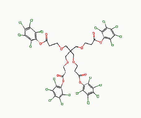 O=C(CCOCC(COCCC(=O)Oc1c(Cl)c(Cl)c(Cl)c(Cl)c1Cl)(COCCC(=O)Oc1c(Cl)c(Cl)c(Cl)c(Cl)c1Cl)COCCC(=O)Oc1c(Cl)c(Cl)c(Cl)c(Cl)c1Cl)Oc1c(Cl)c(Cl)c(Cl)c(Cl)c1Cl